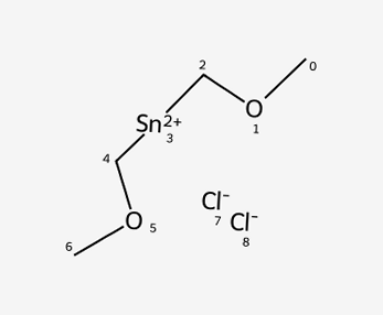 CO[CH2][Sn+2][CH2]OC.[Cl-].[Cl-]